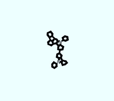 c1ccc(-n2c3ccccc3c3cc(-c4ccc5c(c4)c4c6cccc7c6c(cc4n5-c4ccccc4)-c4ccccc4-7)ccc32)cc1